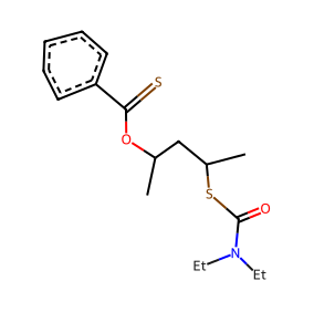 CCN(CC)C(=O)SC(C)CC(C)OC(=S)c1ccccc1